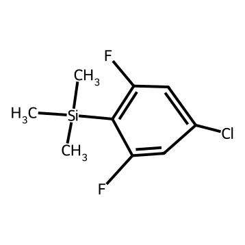 C[Si](C)(C)c1c(F)cc(Cl)cc1F